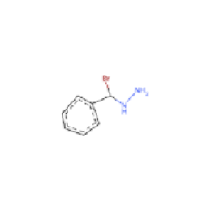 NNC(Br)c1ccccc1